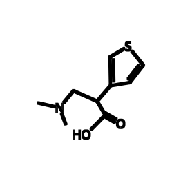 CN(C)CC(C(=O)O)c1ccsc1